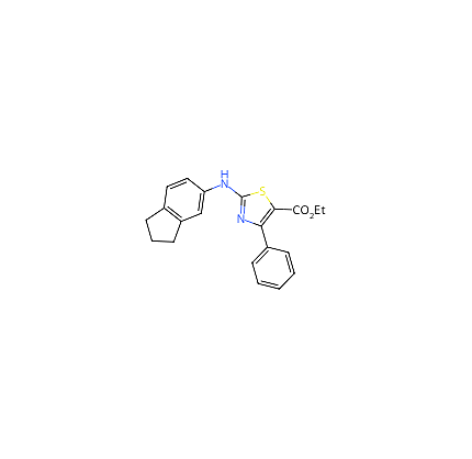 CCOC(=O)c1sc(Nc2ccc3c(c2)CCC3)nc1-c1ccccc1